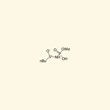 CCCC[S+]([O-])NP(=O)(O)OC